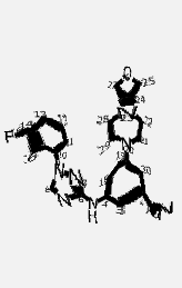 N#Cc1cc(Nc2ncn(-c3cccc(F)c3)n2)cc(N2CCN(C3COC3)CC2)c1